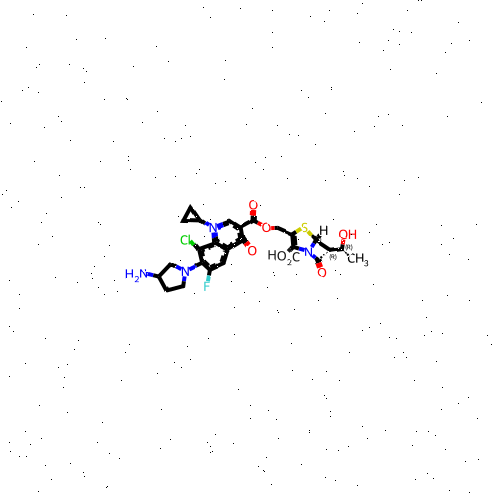 C[C@@H](O)[C@@H]1C(=O)N2C(C(=O)O)=C(COC(=O)c3cn(C4CC4)c4c(Cl)c(N5CCC(N)C5)c(F)cc4c3=O)S[C@H]12